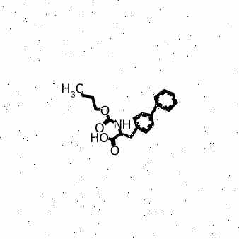 CCCCOC(=O)NC(Cc1ccc(-c2ccccc2)cc1)C(=O)O